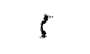 CO[C@@H](Cc1ccc(OCCCOc2ccc(-c3ccc(C(=O)O)cc3)cc2)cc1)C(=O)O